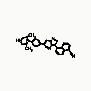 CC1CNCC(C)N1c1ccc(-c2cnc3c(-c4cccc5c(C#N)cccc45)cnn3c2)cc1